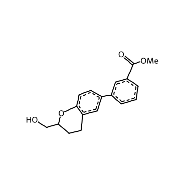 COC(=O)c1cccc(-c2ccc3c(c2)CCC(CO)O3)c1